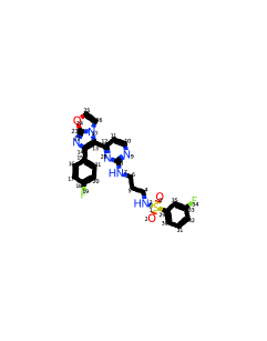 O=S(=O)(NCCCNc1nccc(-c2c(-c3ccc(F)cc3)nc3occn23)n1)c1cccc(F)c1